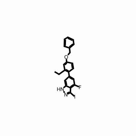 CCc1cc(OCc2ccccc2)ccc1-c1cc(F)c2c(I)n[nH]c2c1